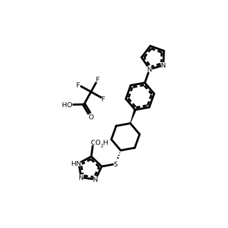 O=C(O)C(F)(F)F.O=C(O)c1[nH]nnc1S[C@H]1CC[C@H](c2ccc(-n3cccn3)cc2)CC1